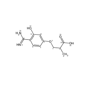 CC(COc1ccc(C(=N)N)c(O)c1)C(=O)O